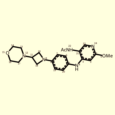 COc1cc(Nc2ccc(N3CC(N4CCOCC4)C3)cc2)c(NC(C)=O)cn1